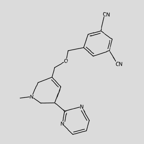 CN1CC(COCc2cc(C#N)cc(C#N)c2)=CC(c2ncccn2)C1